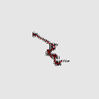 COCCOCCC(=O)N[C@@H](C(=O)N[C@H](C)C(=O)Nc1ccc(COC(=O)N2c3cc(OCCCCCOc4cc5c(cc4OC)C(=O)N4C=C(C)C[C@H]4[C@H](O)N5C(=O)OCc4ccc(NC(=O)[C@@H](C)NC(=O)[C@H](NC(=O)CCOCCOCCOCCOCCOCCOCCOCCOCCNC(=O)CCN5C(=O)C=CC5=O)C(C)C)cc4)c(OC)cc3C(=O)N3C=C(C)C[C@H]3[C@@H]2O)cc1)C(C)C